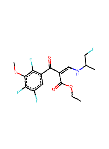 CCOC(=O)C(=CNC(C)CF)C(=O)c1cc(F)c(F)c(OC)c1F